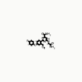 COCc1cc(Oc2ccc(F)cc2)ccc1-c1nc(NCC(N)=O)cc(C(N)=O)n1